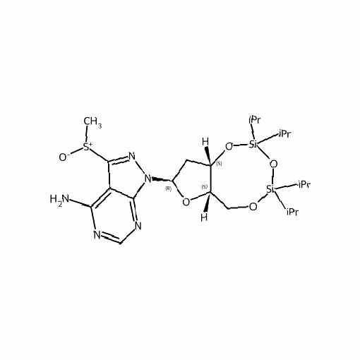 CC(C)[Si]1(C(C)C)OC[C@@H]2O[C@@H](n3nc([S+](C)[O-])c4c(N)ncnc43)C[C@@H]2O[Si](C(C)C)(C(C)C)O1